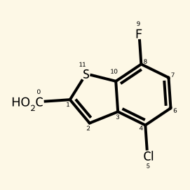 O=C(O)c1cc2c(Cl)ccc(F)c2s1